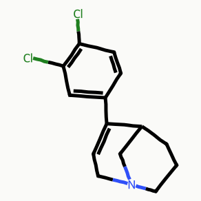 Clc1ccc(C2=CCN3CCCC2C3)cc1Cl